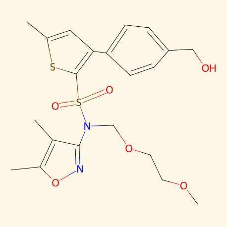 COCCOCN(c1noc(C)c1C)S(=O)(=O)c1sc(C)cc1-c1ccc(CO)cc1